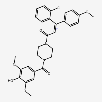 COc1ccc(/C(=C/C(=O)N2CCN(C(=O)c3cc(OC)c(O)c(OC)c3)CC2)c2ccccc2Cl)cc1